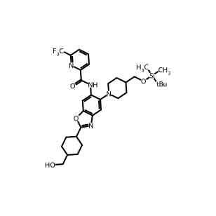 CC(C)(C)[Si](C)(C)OCC1CCN(c2cc3nc(C4CCC(CO)CC4)oc3cc2NC(=O)c2cccc(C(F)(F)F)n2)CC1